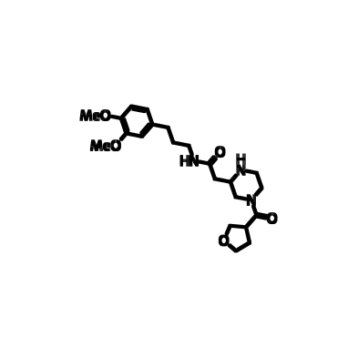 COc1ccc(CCCNC(=O)CC2CN(C(=O)C3CCOC3)CCN2)cc1OC